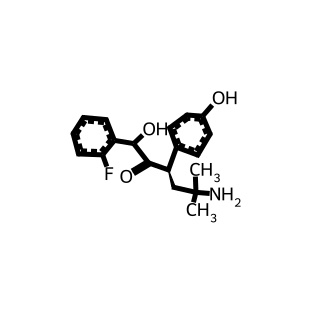 CC(C)(N)C[C@@H](C(=O)C(O)c1ccccc1F)c1ccc(O)cc1